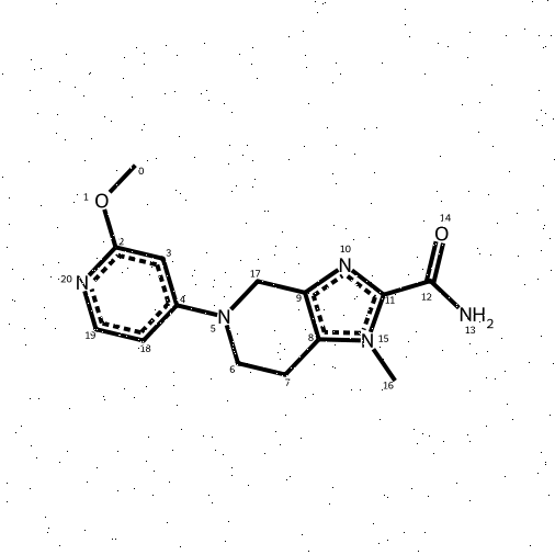 COc1cc(N2CCc3c(nc(C(N)=O)n3C)C2)ccn1